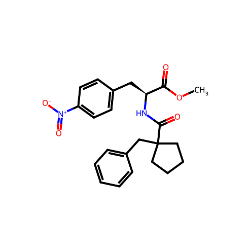 COC(=O)[C@H](Cc1ccc([N+](=O)[O-])cc1)NC(=O)C1(Cc2ccccc2)CCCC1